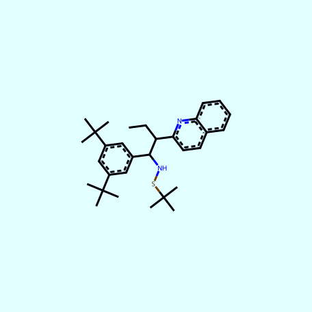 CCC(c1ccc2ccccc2n1)C(NSC(C)(C)C)c1cc(C(C)(C)C)cc(C(C)(C)C)c1